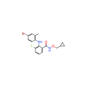 Cc1cc(Br)ccc1Nc1c(F)cccc1C(=O)NOCC1CC1